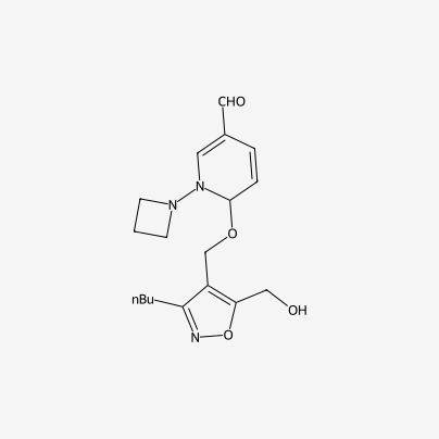 CCCCc1noc(CO)c1COC1C=CC(C=O)=CN1N1CCC1